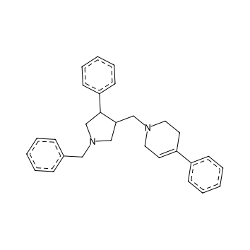 C1=C(c2ccccc2)CCN(CC2CN(Cc3ccccc3)CC2c2ccccc2)C1